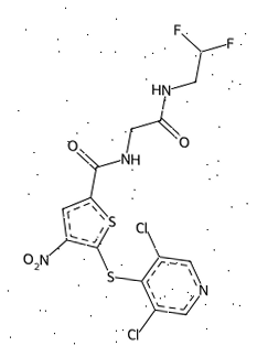 O=C(CNC(=O)c1cc([N+](=O)[O-])c(Sc2c(Cl)cncc2Cl)s1)NCC(F)F